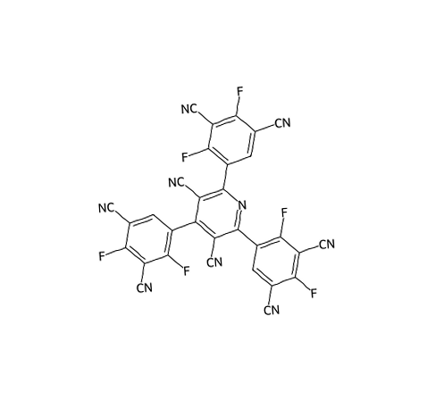 N#Cc1cc(-c2nc(-c3cc(C#N)c(F)c(C#N)c3F)c(C#N)c(-c3cc(C#N)c(F)c(C#N)c3F)c2C#N)c(F)c(C#N)c1F